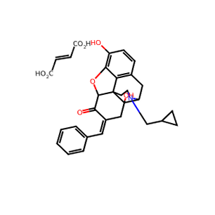 O=C(O)C=CC(=O)O.O=C1C(=Cc2ccccc2)CC2(O)C3Cc4ccc(O)c5c4C2(CCN3CC2CC2)C1O5